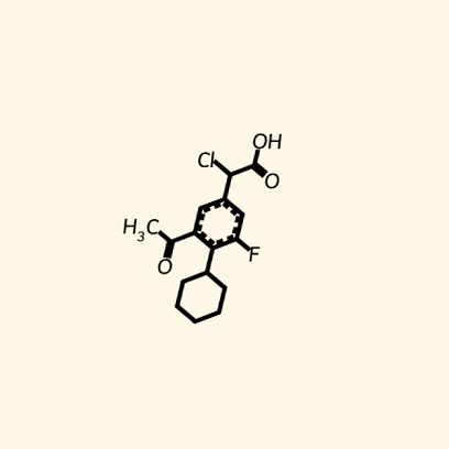 CC(=O)c1cc(C(Cl)C(=O)O)cc(F)c1C1CCCCC1